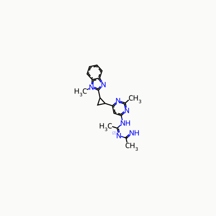 CC(=N)/N=C(/C)Nc1cc(C2CC2c2nc3ccccc3n2C)nc(C)n1